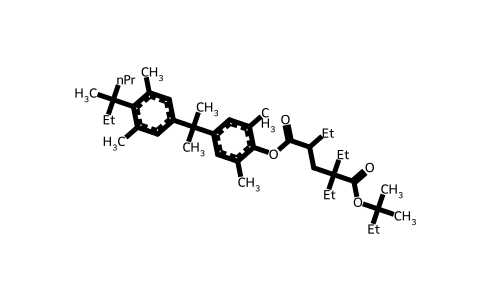 CCCC(C)(CC)c1c(C)cc(C(C)(C)c2cc(C)c(OC(=O)C(CC)CC(CC)(CC)C(=O)OC(C)(C)CC)c(C)c2)cc1C